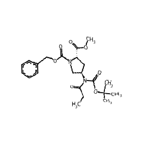 CCC(=O)N(C(=O)OC(C)(C)C)[C@@H]1C[C@@H](C(=O)OC)N(C(=O)OCc2ccccc2)C1